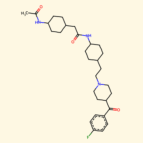 CC(=O)NC1CCC(CC(=O)NC2CCC(CCN3CCC(C(=O)c4ccc(F)cc4)CC3)CC2)CC1